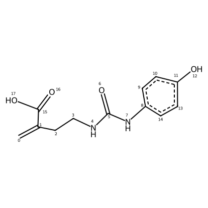 C=C(CCNC(=O)Nc1ccc(O)cc1)C(=O)O